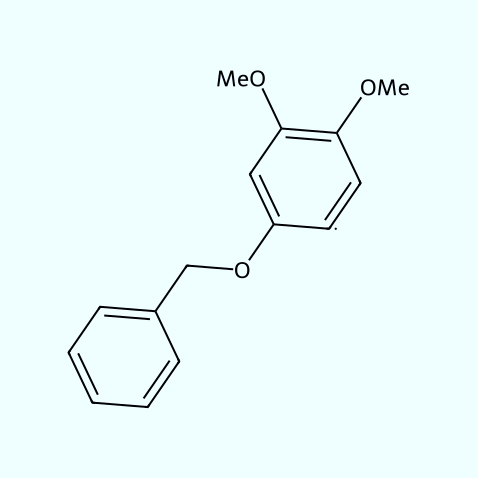 COc1c[c]c(OCc2ccccc2)cc1OC